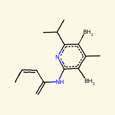 Bc1c(NC(=C)/C=C\C)nc(C(C)C)c(B)c1C